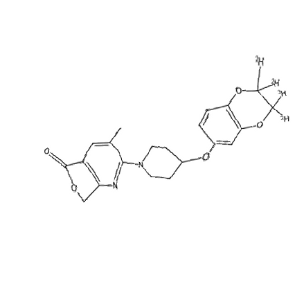 [2H]C1([2H])Oc2ccc(OC3CCN(c4nc5c(cc4C)C(=O)OC5)CC3)cc2OC1([2H])[2H]